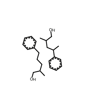 CC(CO)CC(C)c1ccccc1.CC(CO)CCCc1ccccc1